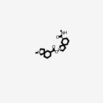 CNC(=O)[C@H]1CCCC2(CCN(OC(=O)C3CCCC4(CCN(C)C4)C3)C2)C1